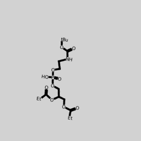 CCC(=O)OCC(COP(=O)(O)OCCNC(=O)OC(C)(C)C)OC(=O)CC